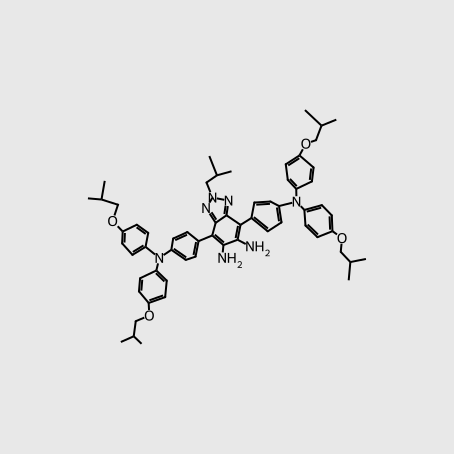 CC(C)COc1ccc(N(c2ccc(OCC(C)C)cc2)c2ccc(-c3c(N)c(N)c(-c4ccc(N(c5ccc(OCC(C)C)cc5)c5ccc(OCC(C)C)cc5)cc4)c4nn(CC(C)C)nc34)cc2)cc1